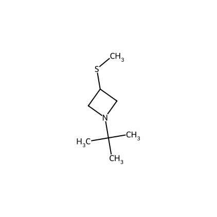 CSC1CN(C(C)(C)C)C1